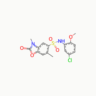 COc1ccc(Cl)cc1NS(=O)(=O)c1cc2c(cc1C)oc(=O)n2C